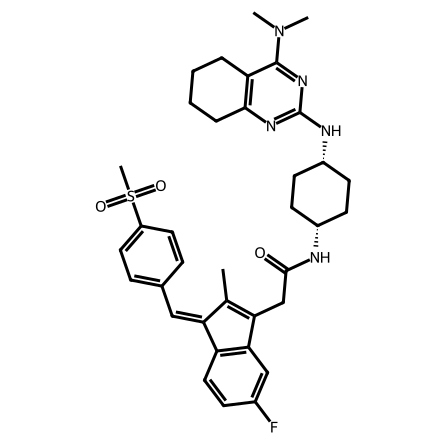 CC1=C(CC(=O)N[C@H]2CC[C@@H](Nc3nc4c(c(N(C)C)n3)CCCC4)CC2)c2cc(F)ccc2/C1=C/c1ccc(S(C)(=O)=O)cc1